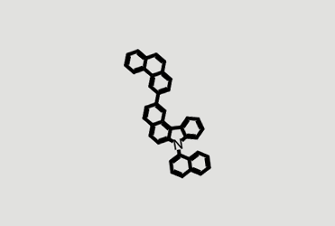 c1ccc2c(-n3c4ccccc4c4c5cc(-c6ccc7ccc8ccccc8c7c6)ccc5ccc43)cccc2c1